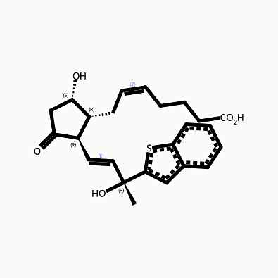 C[C@@](O)(/C=C/[C@H]1C(=O)C[C@H](O)[C@@H]1C/C=C\CCCC(=O)O)c1cc2ccccc2s1